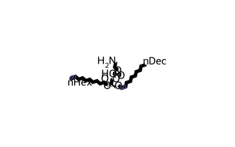 CCCCCC/C=C\CCCCCCCC(=O)O[C@H](CO/C=C\CCCCCCCCCCCCCCCCCC)COP(=O)(O)OCCN